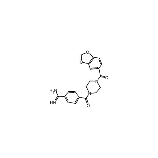 N=C(N)c1ccc(C(=O)N2CCN(C(=O)c3ccc4c(c3)OCO4)CC2)cc1